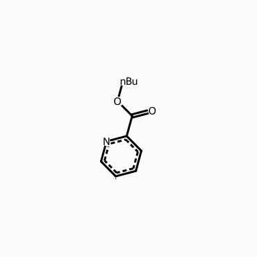 CCCCOC(=O)c1cc[c]cn1